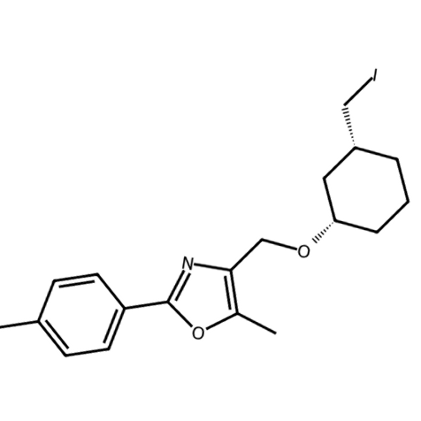 Cc1ccc(-c2nc(CO[C@H]3CCC[C@@H](CI)C3)c(C)o2)cc1